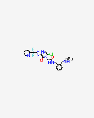 CCCCNCc1ccccc1CNC(=O)Cn1c(Cl)cnc(NCC(F)(F)c2ccccn2)c1=O